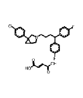 Fc1ccc(C(CCCN2CC3CC3(c3ccc(Cl)cc3)C2)c2ccc(F)cc2)cc1.O=C(O)C=CC(=O)O